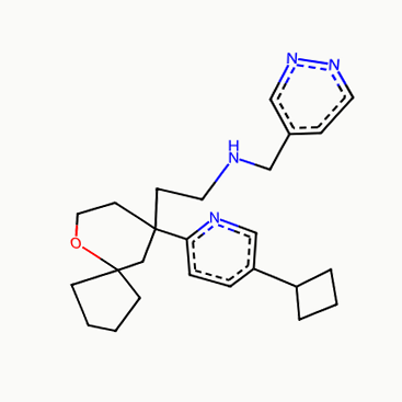 c1cc(CNCCC2(c3ccc(C4CCC4)cn3)CCOC3(CCCC3)C2)cnn1